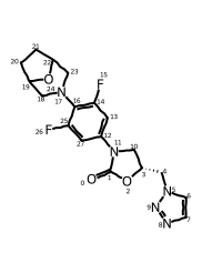 O=C1O[C@@H](Cn2ccnn2)CN1c1cc(F)c(N2CC3CCC(C2)O3)c(F)c1